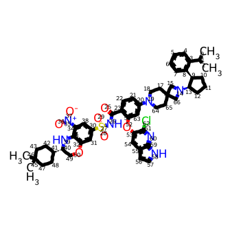 CC(C)c1ccccc1[C@H]1CCC[C@H]1N1CC2(CCN(c3ccc(C(=O)NS(=O)(=O)c4cc5c(c([N+](=O)[O-])c4)N[C@@H](C4CCC(C)(C)CC4)CO5)c(Oc4cc5cc[nH]c5nc4Cl)c3)CC2)C1